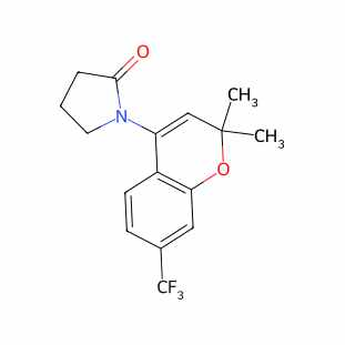 CC1(C)C=C(N2CCCC2=O)c2ccc(C(F)(F)F)cc2O1